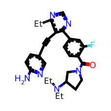 CCc1ncnc(-c2ccc(C(=O)N3CCC(N(CC)CC)C3)c(F)c2)c1C#Cc1ccc(N)nc1